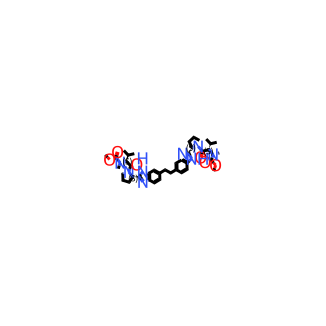 COC(=O)N(C)[C@H](C(=O)N1CCC[C@H]1c1nc2cc(CCc3ccc4nc([C@@H]5CCCN5C(=O)[C@H](C(C)C)N(C)C(=O)OC)[nH]c4c3)ccc2[nH]1)C(C)C